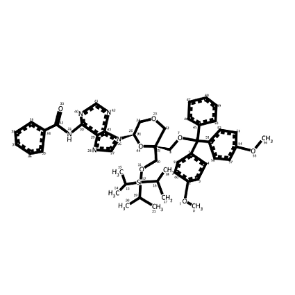 COc1ccc(C(OC[C@]2(CO[Si](C(C)C)(C(C)C)C(C)C)COC[C@H](n3cnc4c(NC(=O)c5ccccc5)ncnc43)O2)(c2ccccc2)c2ccc(OC)cc2)cc1